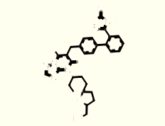 CCCc1c(Cc2ccc(-c3ccccc3-c3noc(=O)[nH]3)cc2)c(=O)n([C@H]2CC[C@@]3(CCC(CO)O3)CC2)c2ncnn12